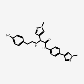 Cn1cc(-c2ccc(NC(=O)C(NCCc3ccc(C#N)cc3)c3cnn(C)c3)nc2)cn1